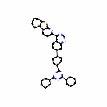 c1ccc(-c2nc(-c3ccccc3)nc(-c3ccc(-c4ccc5c(-c6ccc7c(n6)sc6ccccc67)ncnc5c4)cc3)n2)cc1